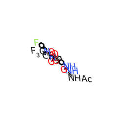 CC(=O)NCCNC(=O)Nc1ccc2c(c1)CC[C@@]21OC(=O)N(CC(=O)N(Cc2ccc(F)cc2)[C@@H](C)C(F)(F)F)C1=O